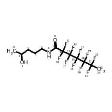 CC(O)CCCNC(=O)C(F)(F)C(F)(F)C(F)(F)C(F)(F)C(F)(F)C(F)(F)F